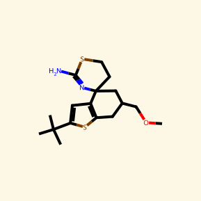 COCC1Cc2sc(C(C)(C)C)cc2C2(CCSC(N)=N2)C1